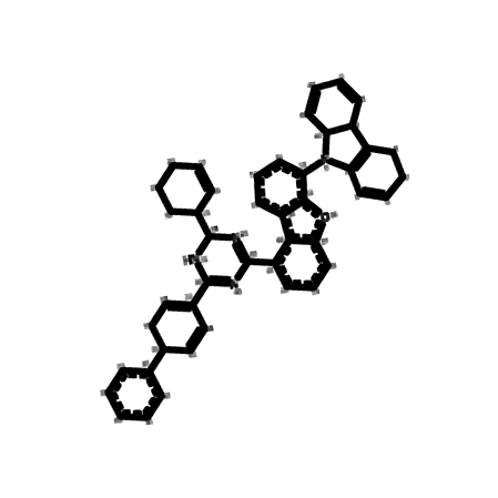 C1=CC2C3=C(C=CCC3)N(c3cccc4c3oc3cccc(C5=NC(C6C=CCCC6)NC(C6=CCC(c7ccccc7)C=C6)=N5)c34)C2C=C1